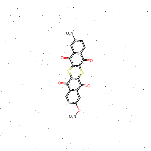 O=c1c2ccc(O[N+](=O)[O-])cc2c(=O)c2sc3c(=O)c4ccc([N+](=O)[O-])cc4c(=O)c3sc12